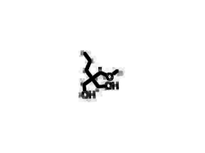 CCCC(CO)(CO)COC